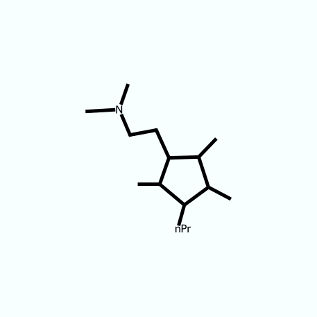 CCCC1C(C)C(C)C(CCN(C)C)C1C